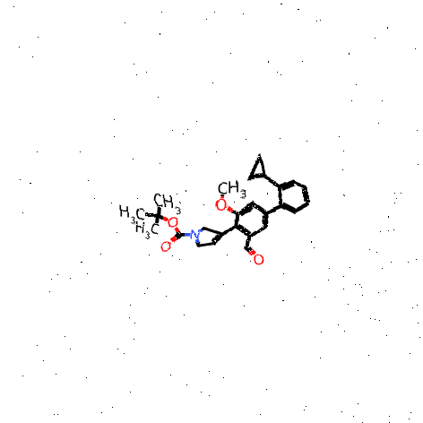 COc1cc(-c2ccccc2C2CC2)cc(C=O)c1C1=CCN(C(=O)OC(C)(C)C)C1